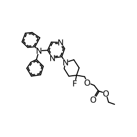 CCOC(=O)COCC1(F)CCN(c2cncc(N(c3ccccc3)c3ccccc3)n2)CC1